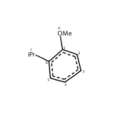 COc1[c]cccc1C(C)C